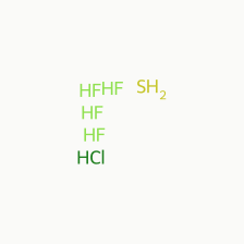 Cl.F.F.F.F.S